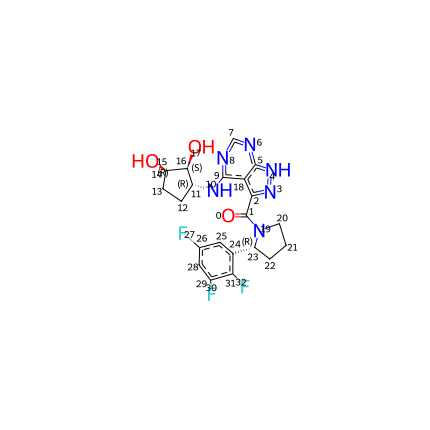 O=C(c1n[nH]c2ncnc(N[C@@H]3CC[C@@H](O)[C@H]3O)c12)N1CCC[C@@H]1c1cc(F)cc(F)c1F